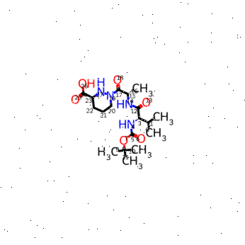 CC(C)[C@H](NC(=O)OC(C)(C)C)C(=O)N[C@@H](C)C(=O)N1CCCC(C(=O)O)N1